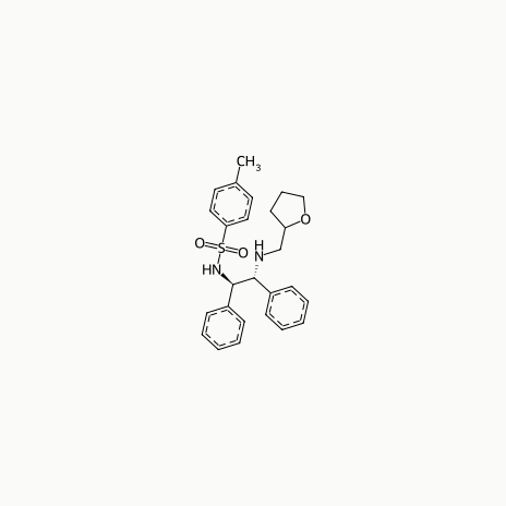 Cc1ccc(S(=O)(=O)N[C@H](c2ccccc2)[C@H](NCC2CCCO2)c2ccccc2)cc1